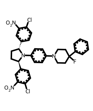 O=[N+]([O-])c1cc([C@H]2CC[C@H](c3ccc(Cl)c([N+](=O)[O-])c3)N2c2ccc(N3CCC(F)(c4ccccc4)CC3)cc2)ccc1Cl